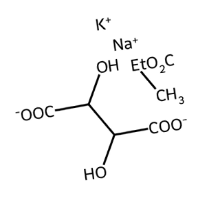 CCOC(C)=O.O=C([O-])C(O)C(O)C(=O)[O-].[K+].[Na+]